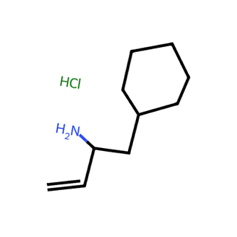 C=CC(N)CC1CCCCC1.Cl